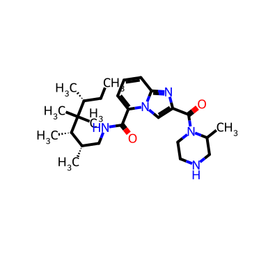 CC[C@@H](C)C(C)(C)[C@@H](C)[C@@H](C)CNC(=O)c1cccc2nc(C(=O)N3CCNCC3C)cn12